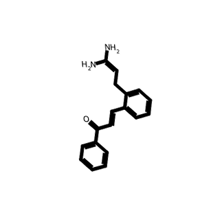 NC(N)=CCc1ccccc1C=CC(=O)c1ccccc1